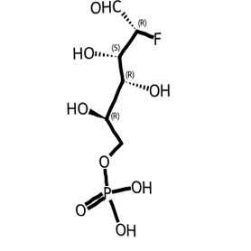 O=C[C@H](F)[C@@H](O)[C@H](O)[C@H](O)COP(=O)(O)O